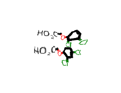 O=C(O)COc1ccc(Cl)cc1Cl.O=C(O)COc1cccc(Cl)c1Cl